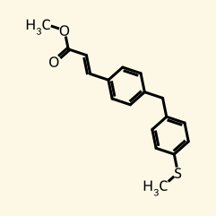 COC(=O)/C=C/c1ccc(Cc2ccc(SC)cc2)cc1